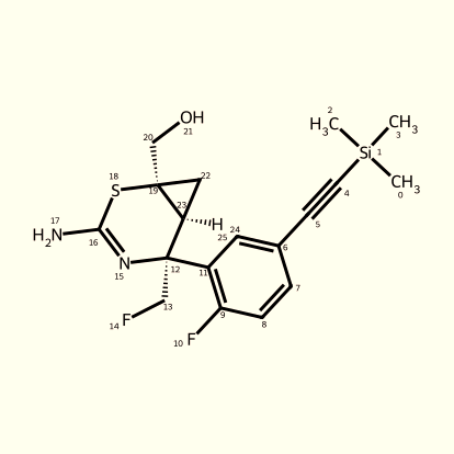 C[Si](C)(C)C#Cc1ccc(F)c([C@@]2(CF)N=C(N)S[C@@]3(CO)C[C@H]32)c1